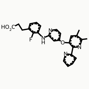 Cc1cc(Oc2ccnc(Nc3cccc(CCC(=O)O)c3F)c2)c(-c2ccccn2)nc1C